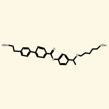 CCCCCCCCCCCCCCCOC(C)c1ccc(OC(=O)c2ccc(-c3ccc(CCCCCCCCCCCC)cc3)cc2)cc1